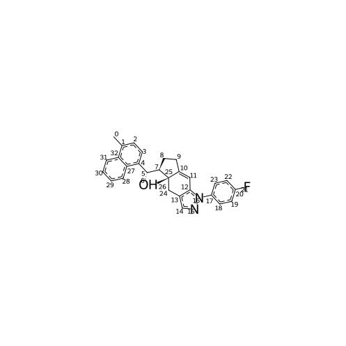 Cc1ccc([C@@H](O)[C@H]2CCC3=Cc4c(cnn4-c4ccc(F)cc4)C[C@@]32C)c2ccccc12